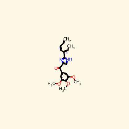 C=C/C=C\C(=C/C)c1nc(C(=O)c2cc(OC)c(OC)c(OC)c2)c[nH]1